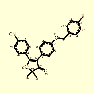 [C-]#[N+]c1ccc(C2=C(c3ccc(OCc4ccc(C)cn4)cc3)C(=O)C(C)(C)O2)cc1